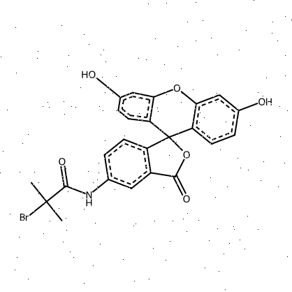 CC(C)(Br)C(=O)Nc1ccc2c(c1)C(=O)OC21c2ccc(O)cc2Oc2cc(O)ccc21